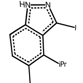 Cc1ccc2[nH]nc(I)c2c1C(C)C